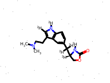 [2H]c1c(CCN(C)C)c2cc(C([2H])([2H])[C@@]3([2H])COC(=O)N3[2H])ccc2n1[2H]